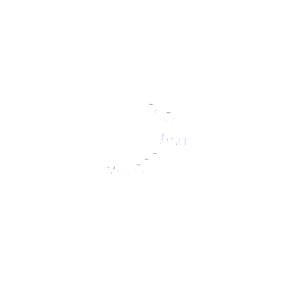 COc1cc(C=CC=CC(=O)CC(N)N2CCC(OC(c3ccccc3)c3ccccc3)CC2)ccc1OC1CCCO1